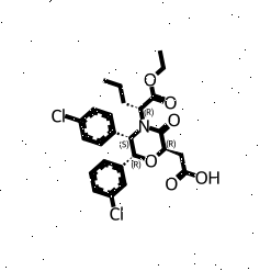 CCC[C@H](C(=O)OCC)N1C(=O)[C@@H](CC(=O)O)O[C@H](c2cccc(Cl)c2)[C@@H]1c1ccc(Cl)cc1